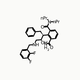 CCCN(CCC)C(=O)c1cccc(C(N)=O)c1[C@H](Cc1ccccc1)[C@@H](O)CNCc1cccc(F)c1F